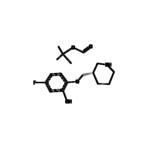 CC(C)(C)OC=O.Oc1cc(F)ccc1OC[C@H]1CCCNC1